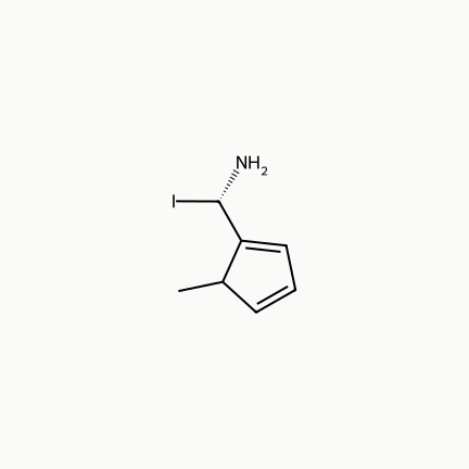 CC1C=CC=C1[C@@H](N)I